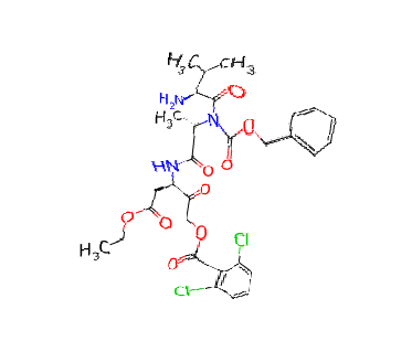 CCOC(=O)C[C@@H](NC(=O)[C@H](C)N(C(=O)OCc1ccccc1)C(=O)[C@@H](N)C(C)C)C(=O)COC(=O)c1c(Cl)cccc1Cl